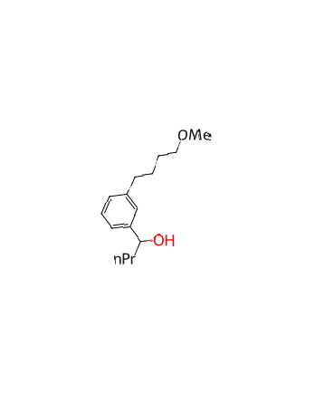 CCCC(O)c1cccc(CCCCOC)c1